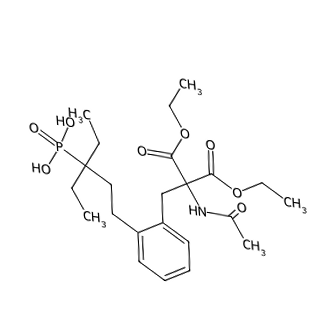 CCOC(=O)C(Cc1ccccc1CCC(CC)(CC)P(=O)(O)O)(NC(C)=O)C(=O)OCC